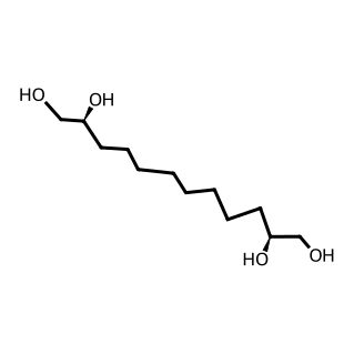 OC[C@@H](O)CCCCCCCC[C@H](O)CO